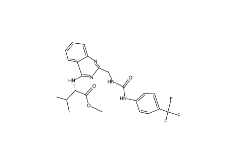 COC(=O)[C@@H](Nc1nc(CNC(=O)Nc2ccc(C(F)(F)F)cc2)nc2ccccc12)C(C)C